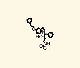 O=C(O)NCC[C@@H](O)[C@H](c1ccccc1)n1ccc2cc(OCCc3ccccc3)ccc21